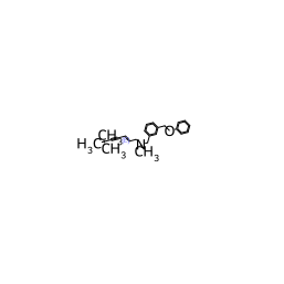 CN(C/C=C/C#CC(C)(C)C)Cc1cccc(COc2ccccc2)c1